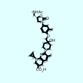 CC(=O)NC[C@H]1CN(c2ccc(OCC3(O)CCN(c4nc5c(cc4F)CC(C(=O)O)=CN5C4CC4)CC3)c(F)c2)C(=O)O1